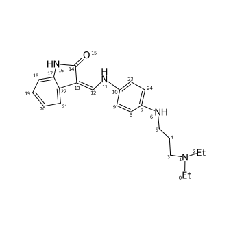 CCN(CC)CCCNc1ccc(N/C=C2\C(=O)Nc3ccccc32)cc1